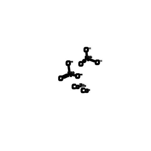 O=[N+]([O-])[O-].O=[N+]([O-])[O-].[Co+2].[Co]